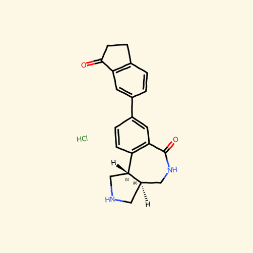 Cl.O=C1CCc2ccc(-c3ccc4c(c3)C(=O)NC[C@H]3CNC[C@H]43)cc21